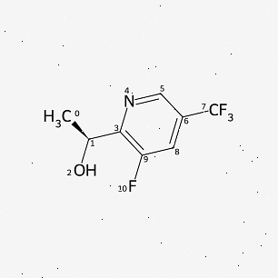 C[C@H](O)c1ncc(C(F)(F)F)cc1F